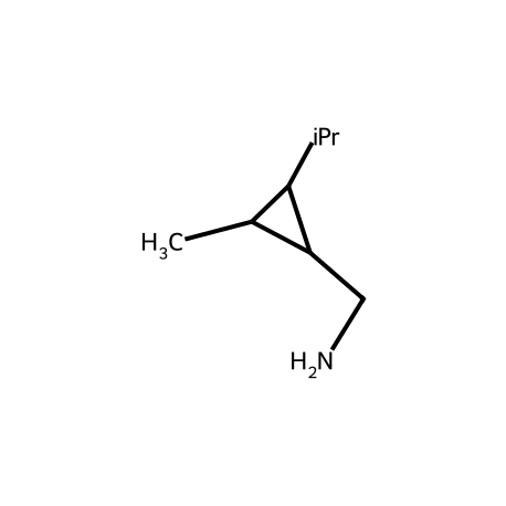 CC(C)C1C(C)C1CN